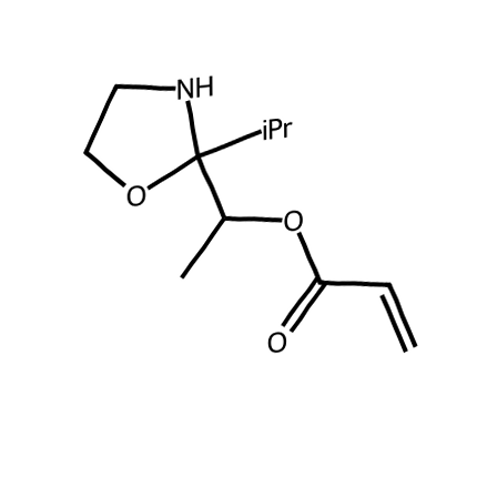 C=CC(=O)OC(C)C1(C(C)C)NCCO1